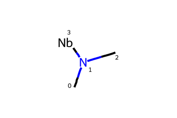 C[N](C)[Nb]